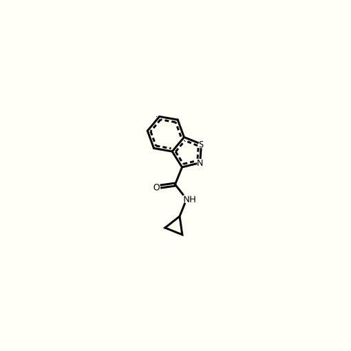 O=C(NC1CC1)c1nsc2c[c]ccc12